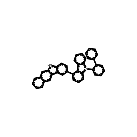 c1ccc(-c2ccccc2-n2c3ccccc3c3c(-c4ccc5[nH]c6cc7ccccc7cc6c5c4)cccc32)cc1